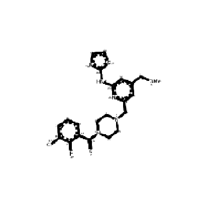 COCc1cc(CN2CCN(C(=O)c3cccc(Cl)c3F)CC2)nc(Nc2nccs2)c1